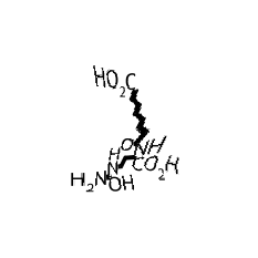 NC(O)NCC[C@H](NC(=O)CCCCCCCC(=O)O)C(=O)O